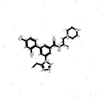 CCc1nnnn1-c1cc(C(=O)N[C@H](C)CN2CCOCC2)cc(-c2ccc(Cl)cc2Cl)c1